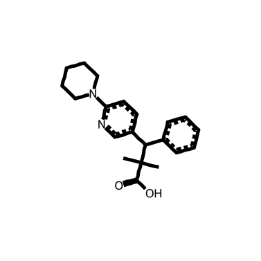 CC(C)(C(=O)O)C(c1ccccc1)c1ccc(N2CCCCC2)nc1